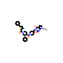 Cn1ccc2c(=O)n(CC3(O)CCN(C(=O)[C@@H]4CCN(C(=O)c5sc(-c6ccccc6)cc5F)C[C@H]4c4ccccc4)CC3)cnc21